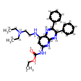 CCOC(=O)Nc1cc(NCCN(CC)CC)c2nc(-c3ccccc3)c(-c3ccccc3)nc2n1